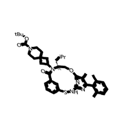 Cc1cccc(C)c1-c1nc2nc(c1C)OC[C@@H](CC(C)C)N(C1CC3(CCN(C(=O)OC(C)(C)C)CC3)C1)C(=O)c1cccc(c1)SN2